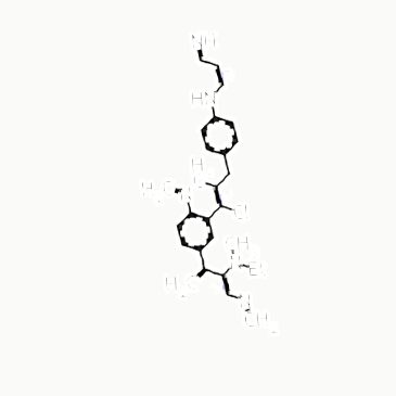 C=N/C=C(/C(=C)c1ccc(N=C)c(/C(Cl)=C(\C)Cc2ccc(N/C=C\C=N)cc2)c1)N(C)CC